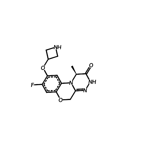 C[C@H]1C(=O)NN=C2COc3cc(F)c(OC4CNC4)cc3N21